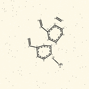 C=C.C=Cc1ccccc1.C=Cc1ccccc1.[CH2]CC[CH2]